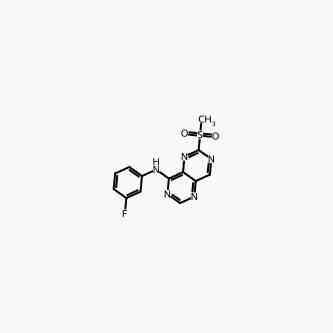 CS(=O)(=O)c1ncc2ncnc(Nc3cccc(F)c3)c2n1